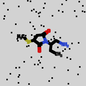 CCC(CN)N1C(=O)CC(SC)C1=O